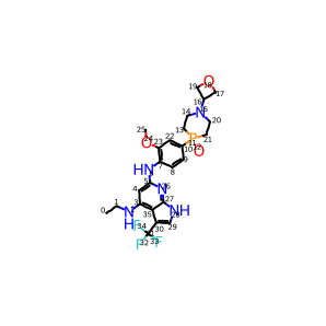 CCNc1cc(Nc2ccc(P3(=O)CCN(C4COC4)CC3)cc2OC)nc2[nH]cc(C(F)(F)F)c12